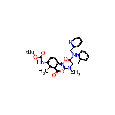 Cc1c(NC(=O)OC(C)(C)C)ccc2nc(N(C)[C@@H](Cc3ccccc3)C(=O)NCc3ccccn3)oc(=O)c12